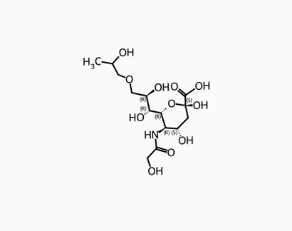 CC(O)COC[C@@H](O)[C@@H](O)[C@@H]1O[C@](O)(C(=O)O)C[C@H](O)[C@H]1NC(=O)CO